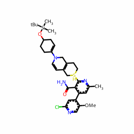 COc1cnc(Cl)cc1-c1cc(C)nc([SH]2CCC3=C(C=CN(C4=CCC(O[Si](C)(C)C(C)(C)C)CC4)C3)C2)c1C(N)=O